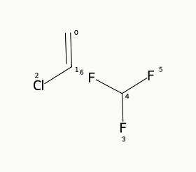 C=CCl.FC(F)F